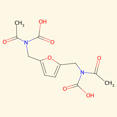 CC(=O)N(Cc1ccc(CN(C(C)=O)C(=O)O)o1)C(=O)O